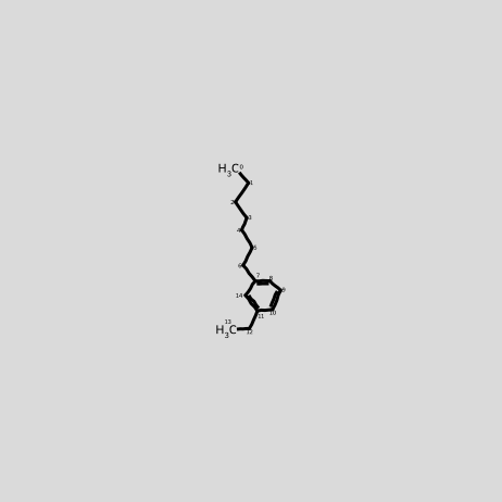 CCCCCCCc1cccc(CC)c1